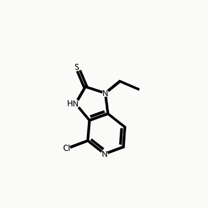 CCn1c(=S)[nH]c2c(Cl)nccc21